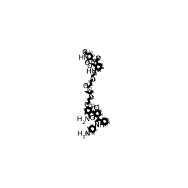 NC(=O)c1ccc(OCCOC2CN(C(=O)CCOCCNc3cccc4c3C(=O)N(C3CCC(=O)NC3=O)C4=O)C2)c(F)c1-c1cc(C(CNC2CCC(N)CC2)c2ccccc2)ccc1Cl